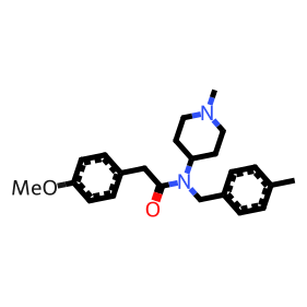 COc1ccc(CC(=O)N(Cc2ccc(C)cc2)C2CCN(C)CC2)cc1